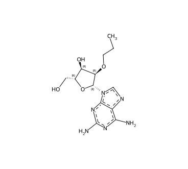 CCCO[C@@H]1[C@H](O)[C@@H](CO)O[C@H]1n1cnc2c(N)nc(N)nc21